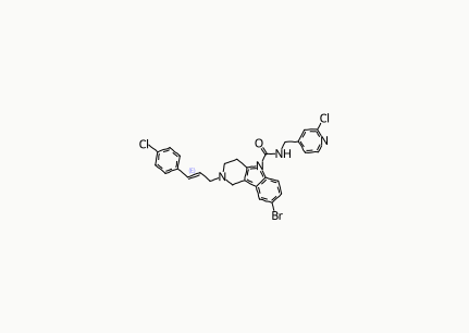 O=C(NCc1ccnc(Cl)c1)n1c2c(c3cc(Br)ccc31)CN(C/C=C/c1ccc(Cl)cc1)CC2